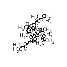 C=C(C)C(=C)OCC(COC(=O)C(C)(C)CC(=C)C(=O)OCC(COC(=O)C(=C)C)OC(=O)NCCOC(=O)C(=C)C)OC(=O)NCCOC(=O)C(=C)C